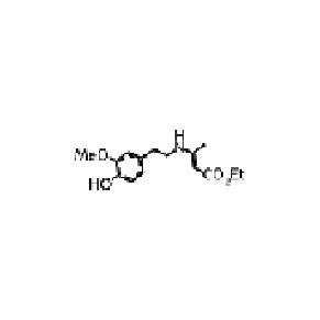 CCOC(=O)C=C(C)NCCc1ccc(O)c(OC)c1